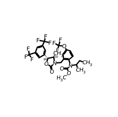 CCC(C)N(C(=O)OC)c1ccc(OC(F)(F)F)cc1CN1C(=O)O[C@H](c2cc(C(F)(F)F)cc(C(F)(F)F)c2)[C@@H]1C